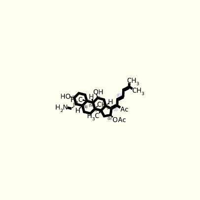 CC(=O)O[C@H]1C[C@@]2(C)[C@@H](C[C@@H](O)[C@H]3[C@@]4(C)CC[C@@H](O)[C@@H](CN)[C@@H]4CC[C@@]32C)/C1=C(\C=C\C=C(C)C)C(C)=O